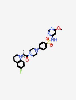 COc1cc(NS(=O)(=O)c2ccc(N3CCN(C(=O)[C@@H](C)N4CCCc5cc(F)ccc54)CC3)cc2)ncn1